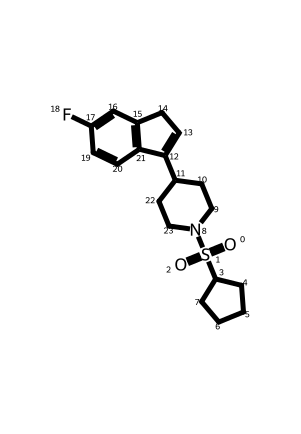 O=S(=O)(C1CCCC1)N1CCC(C2=CCc3cc(F)ccc32)CC1